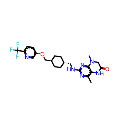 Cc1nc(NC[C@H]2CC[C@H](COc3ccc(C(F)(F)F)nc3)CC2)nc2c1NC(=O)CN2C